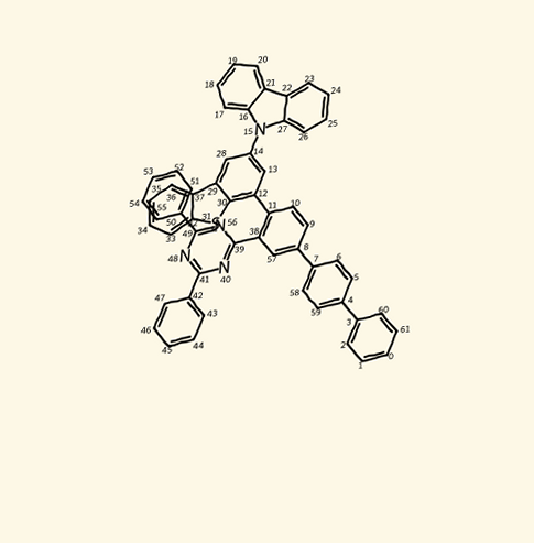 c1ccc(-c2ccc(-c3ccc(-c4cc(-n5c6ccccc6c6ccccc65)cc5c4sc4ccccc45)c(-c4nc(-c5ccccc5)nc(-c5ccccc5)n4)c3)cc2)cc1